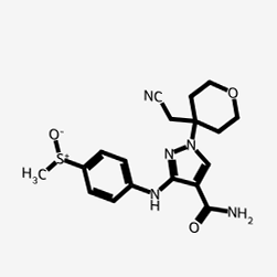 C[S+]([O-])c1ccc(Nc2nn(C3(CC#N)CCOCC3)cc2C(N)=O)cc1